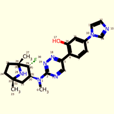 CN(c1ncc(-c2ccc(-n3ccnc3)cc2O)nn1)[C@H]1C[C@]2(C)CC[C@@](C)(N2)[C@@H]1F